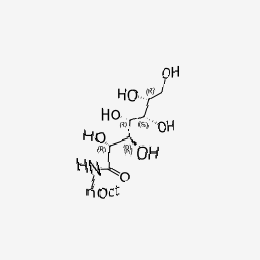 CCCCCCCCNC(=O)[C@H](O)[C@H](O)[C@H](O)[C@@H](O)[C@H](O)CO